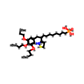 CCCCCCCCCCCCOc1cc(CC(CCCCCCCCP(=O)(O)O)C2=CCSN2)cc(OCCCCCCCCCCCC)c1OCCCCCCCCCCCC